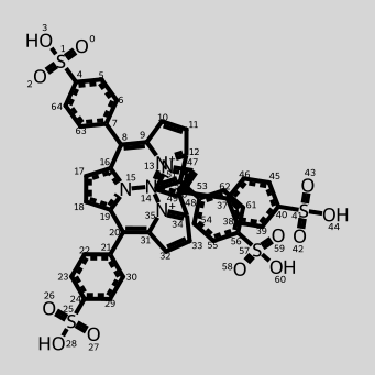 O=S(=O)(O)c1ccc(C2=C3C=CC4=[N+]3[N+]35n6c2ccc6C(c2ccc(S(=O)(=O)O)cc2)=C2C=CC(=[N+]23)C(c2ccc(S(=O)(=O)O)cc2)=c2ccc(n25)=C4c2ccc(S(=O)(=O)O)cc2)cc1